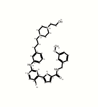 COc1cccc(CNC(=O)c2ccc(-c3nc(Nc4cccc(CCCN5CCN(CCO)CC5)c4)ncc3F)s2)c1